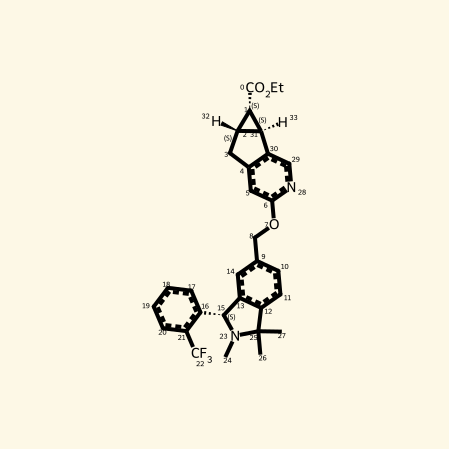 CCOC(=O)[C@H]1[C@H]2Cc3cc(OCc4ccc5c(c4)[C@@H](c4ccccc4C(F)(F)F)N(C)C5(C)C)ncc3[C@@H]21